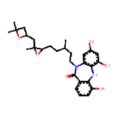 CC(CCC1OC1(C)CC1CC(C)(C)O1)CCN1C(=O)c2cccc(O)c2Nc2c(O)cc(O)cc21